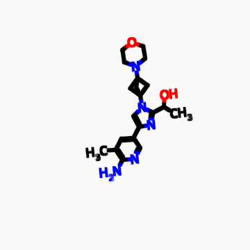 Cc1cc(-c2cn(C34CC(N5CCOCC5)(C3)C4)c(C(C)O)n2)cnc1N